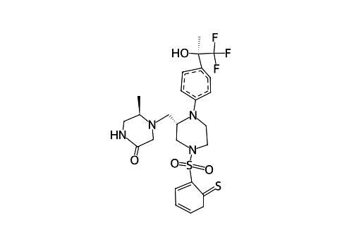 C[C@@H]1CNC(=O)CN1C[C@H]1CN(S(=O)(=O)C2=CC=CCC2=S)CCN1c1ccc([C@@](C)(O)C(F)(F)F)cc1